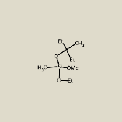 CCO[Si](C)(OC)OC(C)(CC)CC